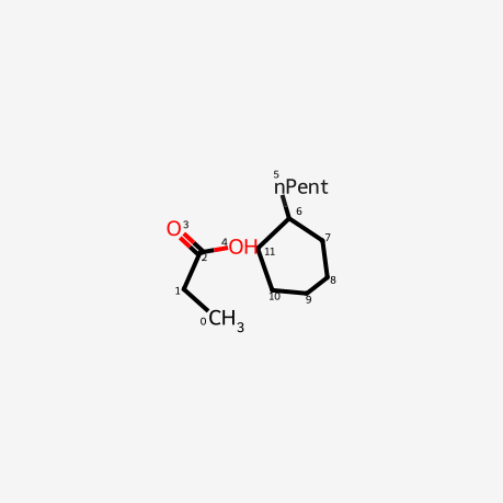 CCC(=O)O.CCCCCC1CCCCC1